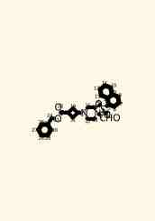 O=C[N+]1(S(=O)(=O)c2cccc3ccccc23)CCN(C2CC(C(=O)OCc3ccccc3)C2)CC1